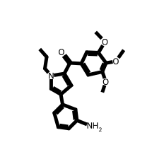 CCCn1cc(-c2cccc(N)c2)cc1C(=O)c1cc(OC)c(OC)c(OC)c1